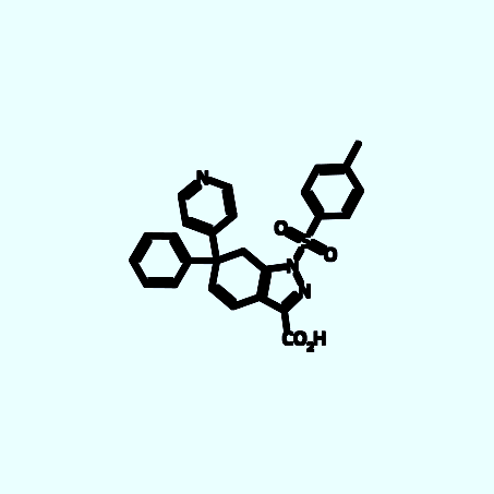 Cc1ccc(S(=O)(=O)n2nc(C(=O)O)c3c2CC(c2ccccc2)(c2ccncc2)C=C3)cc1